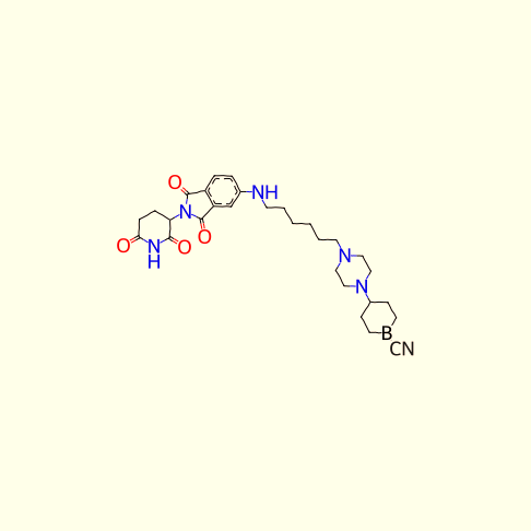 N#CB1CCC(N2CCN(CCCCCCNc3ccc4c(c3)C(=O)N(C3CCC(=O)NC3=O)C4=O)CC2)CC1